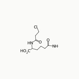 [NH]C(=O)CCCC(NC(=O)CCCl)C(=O)O